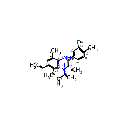 C=Cc1cc(C)c(NC(c2ccc(C)c(F)c2)[C@H](C)NC(=C)C)nc1C